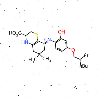 CCCCC(CC)COc1ccc(/N=C2\CC(C)(C)CC3=C2SCC(C(=O)O)N3)c(O)c1